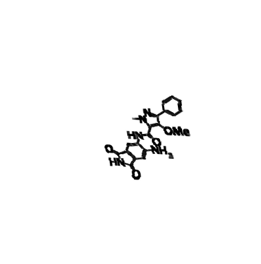 COc1c(-c2ccccc2)nn(C)c1C(=O)Nc1cc2c(cc1N)C(=O)NC2=O